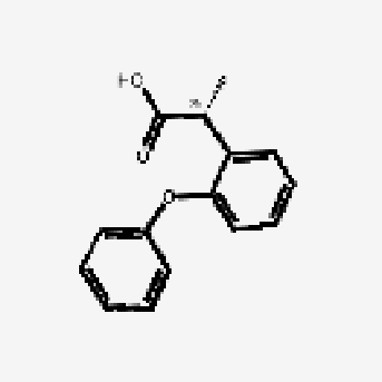 C[C@@H](C(=O)O)c1ccccc1Oc1ccccc1